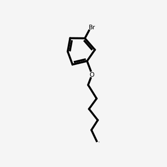 [CH2]CCCCCOc1cccc(Br)c1